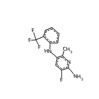 Cc1nc(N)c(F)cc1Nc1ccccc1C(F)(F)F